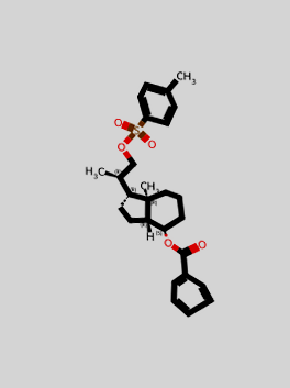 Cc1ccc(S(=O)(=O)OC[C@H](C)[C@H]2CC[C@H]3[C@@H](OC(=O)c4ccccc4)CCC[C@]23C)cc1